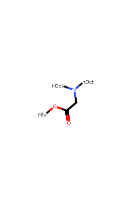 CCCCCCCCN(CCCCCCCC)CC(=O)OCCCC